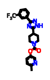 Cc1ccc(OC(=O)N2CCC(c3nc(-c4cccc(C(F)(F)F)c4)n[nH]3)CC2)cn1